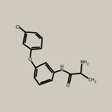 CC(N)C(=O)Nc1cccc(Oc2cccc(Cl)c2)c1